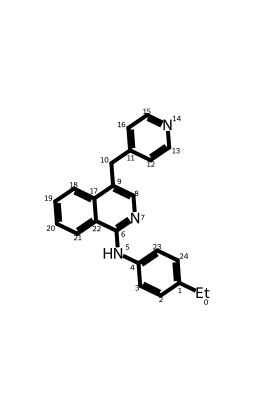 CCc1ccc(Nc2ncc(Cc3ccncc3)c3ccccc23)cc1